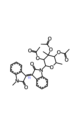 CC(=O)OC1C(C)OC(N2C(=O)/C(=C3/C(=O)N(C)c4ccccc43)c3ccccc32)C(OC(C)=O)C1(C)OC(C)=O